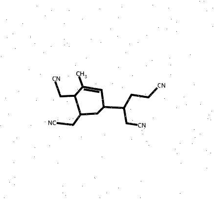 CC1=CC(C(CC#N)CCC#N)CC(CC#N)C1CC#N